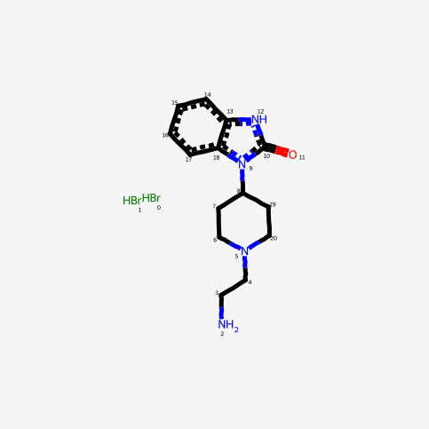 Br.Br.NCCN1CCC(n2c(=O)[nH]c3ccccc32)CC1